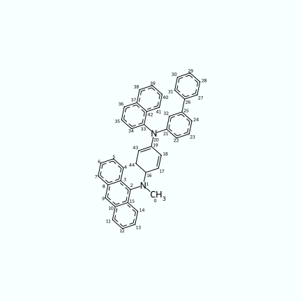 CN(c1c2ccccc2cc2ccccc12)C1C=CC(N(c2cccc(-c3ccccc3)c2)c2cccc3ccccc23)=CC1